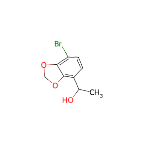 CC(O)c1ccc(Br)c2c1OCO2